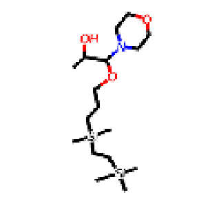 CC(O)C(OCCC[Si](C)(C)CC[Si](C)(C)C)N1CCOCC1